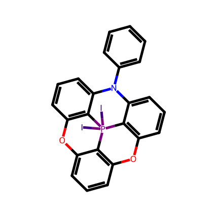 IP12(I)c3c4cccc3Oc3cccc(c31)N(c1ccccc1)c1cccc(c12)O4